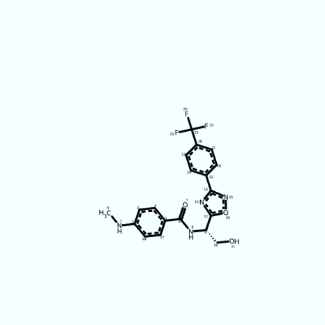 CNc1ccc(C(=O)N[C@@H](CO)c2nc(-c3ccc(C(F)(F)F)cc3)no2)cc1